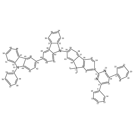 CC1(C)c2cc(-c3nc(-c4ccccc4)cc(-c4ccccc4)n3)ccc2-c2ccc(-n3c4ccccc4c4cc(-c5ccc6c(c5)c5ccccc5n6-c5ccccc5)ccc43)cc21